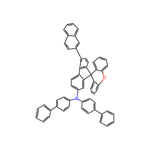 c1ccc(-c2ccc(N(c3ccc(-c4ccccc4)cc3)c3ccc4c(c3)C3(c5ccccc5Oc5ccccc53)c3ccc(-c5ccc6ccccc6c5)cc3-4)cc2)cc1